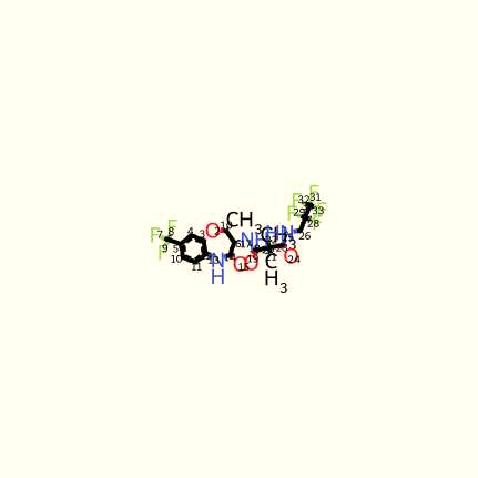 C[C@H]1Oc2cc(C(F)(F)F)ccc2NC(=O)[C@H]1NC(=O)C(C)(C)C(=O)NCC(F)(F)C(F)(F)F